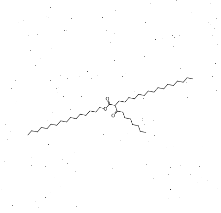 CCCCCCCCCCCCCCCCOC(=O)C(CCCCCCCCCCCCCCCC)C(=O)CCCCCCC